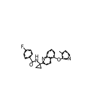 Cc1ccncc1Oc1cccc2nc(C3(NC(=O)c4ccc(F)cc4)CC3)ccc12